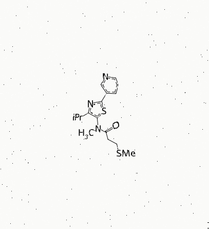 CSCCC(=O)N(C)c1sc(-c2cccnc2)nc1C(C)C